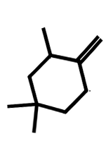 C=C1[CH]CC(C)(C)C[C]1C